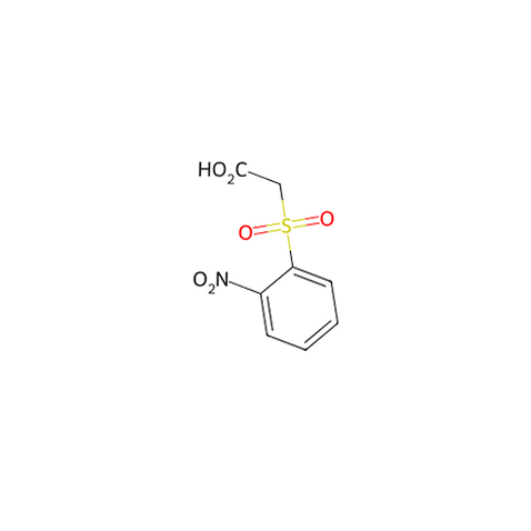 O=C(O)CS(=O)(=O)c1ccccc1[N+](=O)[O-]